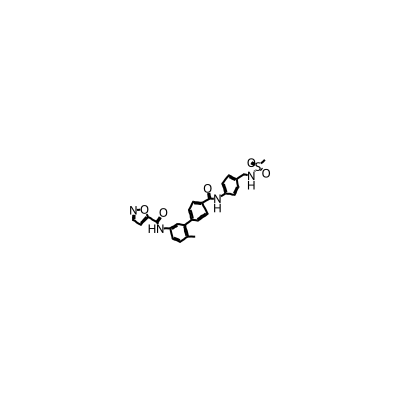 Cc1ccc(NC(=O)c2ccno2)cc1-c1ccc(C(=O)Nc2ccc(CNS(C)(=O)=O)cc2)cc1